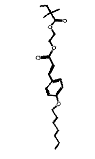 CCCCCCCOc1ccc(/C=C/C(=O)OCCOC(=O)C(C)(C)CC)cc1